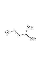 O=C(O)C(CCC(F)(F)F)C(=O)O